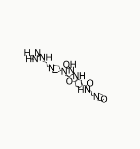 N=C(N)NCCCN1CCC(N2C=C3Oc4ccc(C(=O)NCCN5CCOCC5)cc4NC3=NC2O)CC1